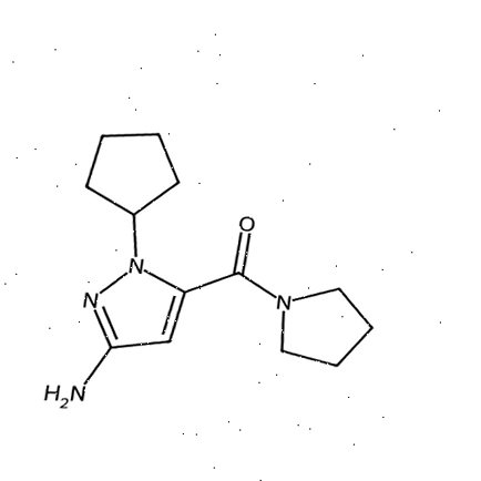 Nc1cc(C(=O)N2CCCC2)n(C2CCCC2)n1